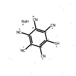 N#Cc1c(S)c(C#N)c(C#N)c(C#N)c1C#N.[NaH]